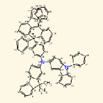 CC1(C)c2ccccc2-c2ccc(N(c3ccc(C4(c5ccccc5)c5ccccc5C5(c6ccccc6)c6ccccc6-c6cccc4c65)cc3)c3ccc4c(c3)c3ccccc3n4-c3ccccc3)cc21